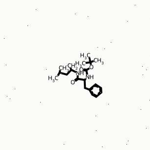 [CH2]C(CC(C)C)NC(=O)C(Cc1ccccc1)NC(=O)OC(C)(C)C